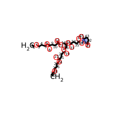 C=COCCCOC(=O)CCC(=O)OCC(COC(=O)CCC(=O)OCCCOC=C)OC(=O)CCC(=O)ON1C(=O)CCC1=O